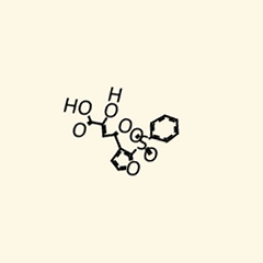 O=C(O)C(O)=CC(=O)c1ccoc1S(=O)(=O)c1ccccc1